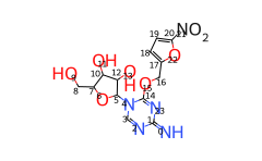 N=c1ncn(C2OC(CO)C(O)C2O)c(OCc2ccc([N+](=O)[O-])o2)n1